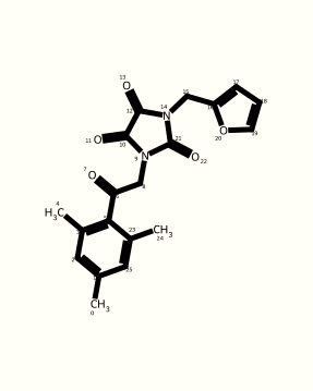 Cc1cc(C)c(C(=O)CN2C(=O)C(=O)N(Cc3ccco3)C2=O)c(C)c1